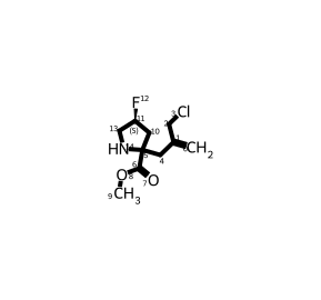 C=C(CCl)CC1(C(=O)OC)C[C@H](F)CN1